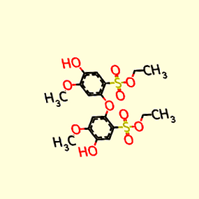 CCOS(=O)(=O)c1cc(O)c(OC)cc1Oc1cc(OC)c(O)cc1S(=O)(=O)OCC